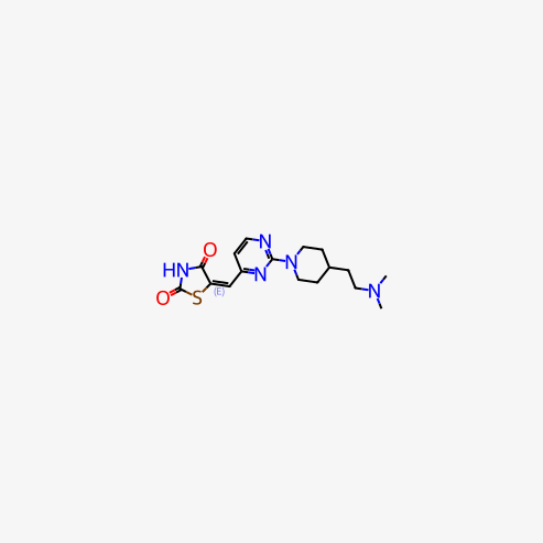 CN(C)CCC1CCN(c2nccc(/C=C3/SC(=O)NC3=O)n2)CC1